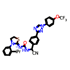 CC(C)c1ccccc1N1CCS/C1=N\C(=O)NC(C#N)c1ccc(-c2ncn(-c3ccc(OC(F)(F)F)cc3)n2)cc1